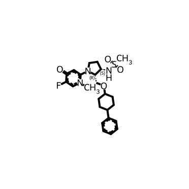 Cn1cc(F)c(=O)cc1N1CC[C@H](NS(C)(=O)=O)[C@@H]1COC1CCC(c2ccccc2)CC1